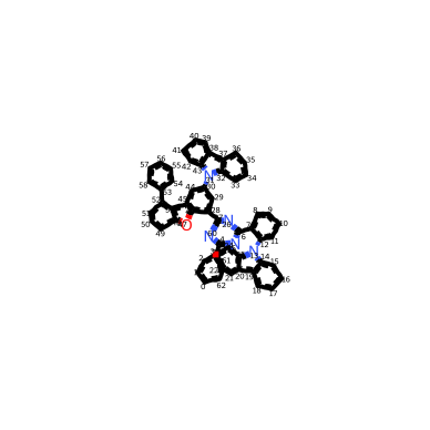 c1ccc(-c2nc(-c3ccccc3-n3c4ccccc4c4ccccc43)nc(-c3cc(-n4c5ccccc5c5ccccc54)cc4c3oc3cccc(-c5ccccc5)c34)n2)cc1